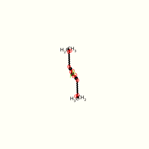 C=C(C)C(=O)OCCCCCCCCCCCCCOc1ccc(C(=O)Oc2cc(F)c(OC(=O)c3ccc(OCCCCCCCCCCCCCOC(=O)C(=C)C)cc3)c(F)c2F)cc1